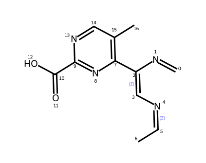 C=N/C(=C\N=C/C)c1nc(C(=O)O)ncc1C